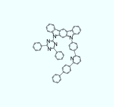 c1ccc(-c2ccc(-c3cccc(-c4ccc(-n5c6ccccc6c6cc7c8ccccc8n(-c8nc(-c9ccccc9)nc(-c9ccccc9)n8)c7cc65)cc4)n3)cc2)cc1